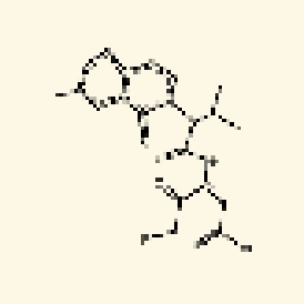 CC(C)C(C(=O)N[C@@H](CC(=O)O)C(=O)CF)n1ccc2ccc(Cl)cc2c1=O